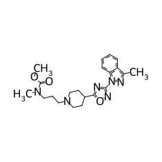 COC(=O)N(C)CCCN1CCC(c2nc(-n3nc(C)c4ccccc43)no2)CC1